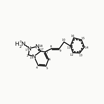 NN1CN2C=CC=C(C=CCc3ccccc3)C2=N1